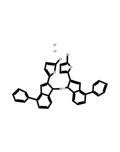 CCc1ccc(C2=Cc3c(-c4ccccc4)cccc3[CH]2[Zr+2][CH]2C(c3ccc(CC)o3)=Cc3c(-c4ccccc4)cccc32)o1.[Cl-].[Cl-]